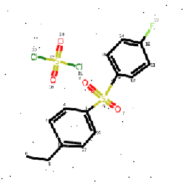 CCc1ccc(S(=O)(=O)c2ccc(F)cc2)cc1.O=S(=O)(Cl)Cl